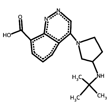 CC(C)(C)NC1CCN(c2cnnc3c(C(=O)O)cccc23)C1